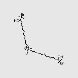 CC(C)(Br)C(O)CCCCCCCCCCCO[PH](=O)OCCCCCCCCCCCC(O)C(C)(C)Br